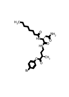 CCCCCCCC(=O)N[C@H](CC(N)=O)C(=O)NCC[C@@H](C)C(=O)Oc1ccc(Br)cc1